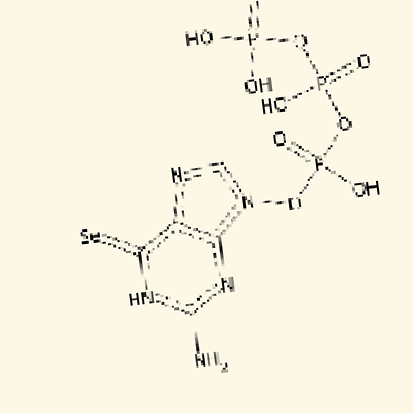 Nc1nc2c(ncn2OP(=O)(O)OP(=O)(O)OP(=O)(O)O)c(=[Se])[nH]1